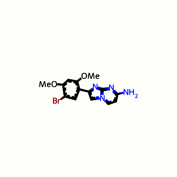 COc1cc(OC)c(-c2cn3ccc(N)nc3n2)cc1Br